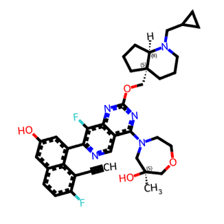 C#Cc1c(F)ccc2cc(O)cc(-c3ncc4c(N5CCOC[C@@](C)(O)C5)nc(OC[C@]56CCC[C@H]5N(CC5CC5)CCC6)nc4c3F)c12